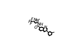 Cc1cccc(-c2cnc3cc(C(=O)Nc4cc(C(F)(F)F)nn4C)ccc3c2)c1